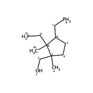 CC1(CO)CCC(CP)C1(C)CP